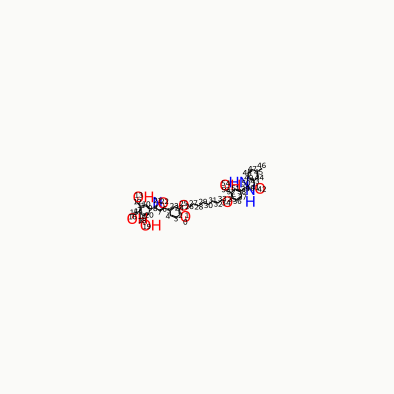 COc1ccc(-c2cc(-c3cc(CO)c(CO)c(CO)c3)no2)cc1OCCCCCCCCOc1ccc(C2NC(=O)c3cc(C)ccc3N2)cc1CO